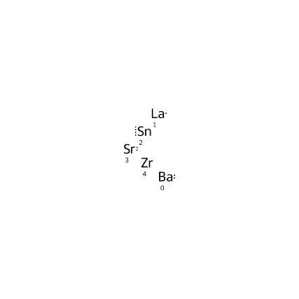 [Ba].[La].[Sn].[Sr].[Zr]